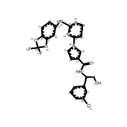 O=C(NC(CO)c1cccc(Cl)c1)c1ccn(-c2ccnc(Nc3ccc4c(c3)OC(F)(F)O4)n2)c1